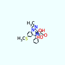 CC(=O)O.CSc1ccc2c(c1)C(c1ccccc1)=NC(O)c1nc(C)cn1-2